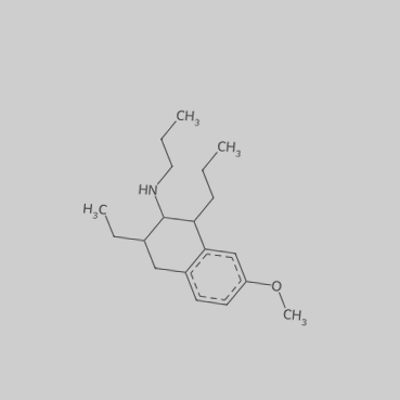 CCCNC1C(CC)Cc2ccc(OC)cc2C1CCC